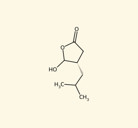 CC(C)C[C@H]1CC(=O)OC1O